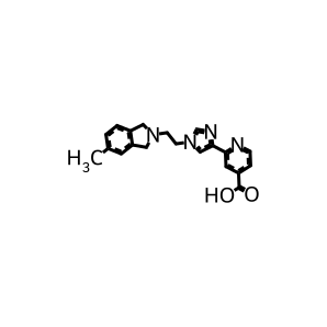 Cc1ccc2c(c1)CN(CCn1cnc(-c3cc(C(=O)O)ccn3)c1)C2